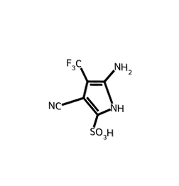 N#Cc1c(S(=O)(=O)O)[nH]c(N)c1C(F)(F)F